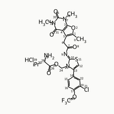 Cc1oc2c(c1CC(=O)/N=c1\scc(-c3ccc(OC(F)(F)F)c(Cl)c3)n1COC(=O)[C@@H](N)C(C)C)c(=O)n(C)c(=O)n2C.Cl